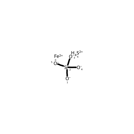 [Fe+2].[O-][Si]([O-])([O-])[O-].[SH4+2]